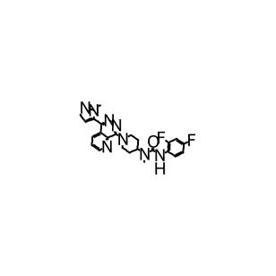 CN(C(=O)Nc1ccc(F)cc1F)C1CCN(c2nnc(-c3ccnn3C)c3cccnc23)CC1